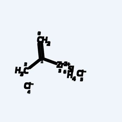 C=[C](C)[Zr+2].[Cl-].[Cl-].[SiH4]